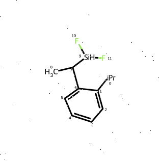 CC(C)c1ccccc1C(C)[SiH](F)F